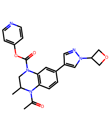 CC(=O)N1c2ccc(-c3cnn(C4COC4)c3)cc2N(C(=O)Oc2ccncc2)CC1C